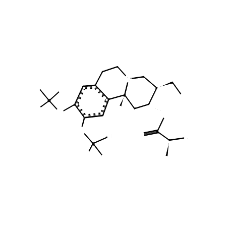 [2H]C([2H])([2H])Oc1cc2c(cc1OC([2H])([2H])[2H])[C@H]1C[C@@H](OC(=O)[C@@H](N)C(C)C)[C@H](CC(C)C)CN1CC2